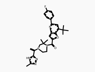 C=C(c1nnc(C)[nH]1)N1CCN(C(=O)c2cc3nc(-c4ccc(F)cc4)cc(C(C)(C)C)c3o2)C(C)(C)C1